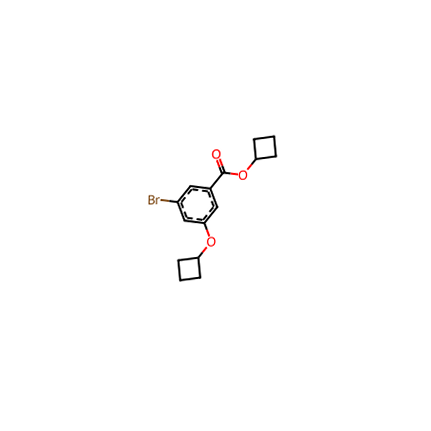 O=C(OC1CCC1)c1cc(Br)cc(OC2CCC2)c1